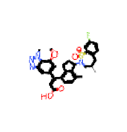 COc1cc(/C(=C/C(=O)O)c2ccc(C)c3c2CC[C@H]3N2C[C@@H](C)Cc3ccc(F)cc3S2(=O)=O)cc2nnn(C)c12